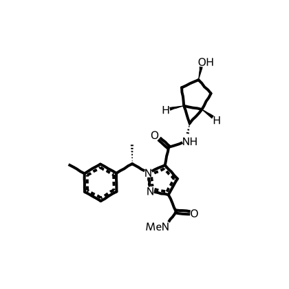 CNC(=O)c1cc(C(=O)N[C@@H]2[C@@H]3C[C@@H](O)C[C@@H]32)n([C@@H](C)c2cccc(C)c2)n1